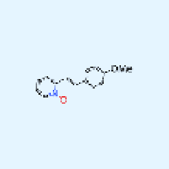 COc1ccc(C=Cc2cccc[n+]2[O-])cc1